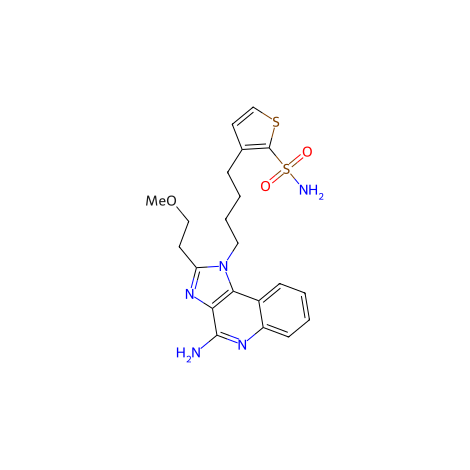 COCCc1nc2c(N)nc3ccccc3c2n1CCCCc1ccsc1S(N)(=O)=O